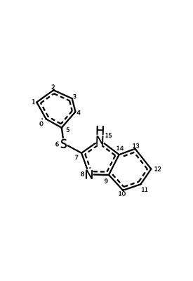 [c]1ccccc1Sc1nc2ccccc2[nH]1